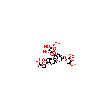 CC(C)(O)[C@@H]1CC[C@](C)([C@H]2[C@@H](O)C[C@@]3(C)[C@@H]4C[C@H](OC5OC(CO)[C@@H](O)[C@H](O)[C@H]5O)[C@H]5C(C)(C)[C@@H](OC6OC[C@@H](O)[C@H](O)[C@H]6O)CC[C@@]56CC46CC[C@]23C)O1